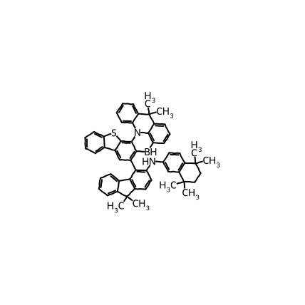 CC1(C)CCC(C)(C)c2cc(Nc3ccc4c(c3-c3cc5c(sc6ccccc65)c5c3Bc3cccc6c3N5c3ccccc3C6(C)C)-c3ccccc3C4(C)C)ccc21